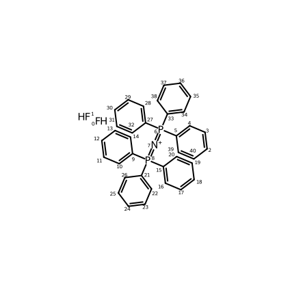 F.F.c1ccc(P(=[N+]=P(c2ccccc2)(c2ccccc2)c2ccccc2)(c2ccccc2)c2ccccc2)cc1